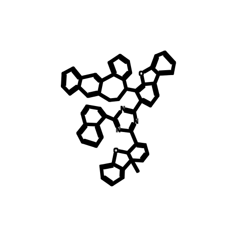 CC12C=CC=C(c3nc(-c4ccc5c(oc6ccccc65)c4C4CCc5cc6ccccc6cc5-c5ccccc54)nc(-c4cccc5ccccc45)n3)C1Oc1ccccc12